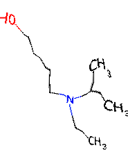 CCN(CCCCO)C(C)C